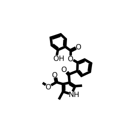 COC(=O)c1c(C)[nH]c(C)c1C(=O)c1ccccc1OC(=O)c1ccccc1O